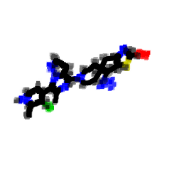 Cc1nccc(-c2c(C)nc(N3CCC4(CC3)Cc3nc(O)sc3[C@H]4N)c3ccnn23)c1Cl